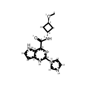 CO[C@H]1C[C@H](NC(=O)c2nc(-n3ccnc3)nc3cc[nH]c23)C1